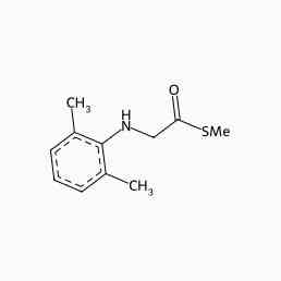 CSC(=O)CNc1c(C)cccc1C